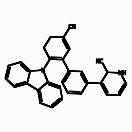 N#CC1=CC(c2cccc(C3=CC=CNC3C#N)c2)=C(n2c3ccccc3c3ccccc32)CC1